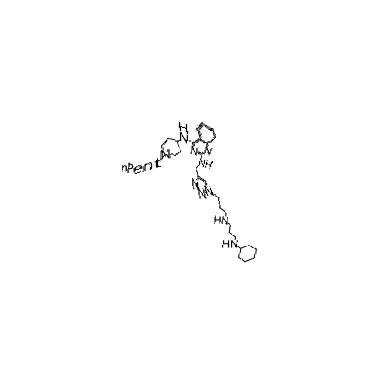 CCCCCN1CCC(Nc2nc(NCc3cn(CCCNCCCNC4CCCCC4)nn3)nc3ccccc23)CC1